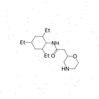 CCC1CC(CC)C(NC(=O)CC2CNCCO2)C(CC)C1